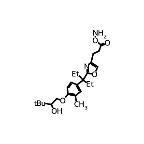 CCC(CC)(c1ccc(OCC(O)C(C)(C)C)c(C)c1)c1nc(CCC(=O)ON)co1